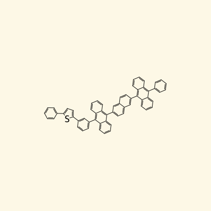 c1ccc(-c2ccc(-c3cccc(-c4c5ccccc5c(-c5ccc6cc(-c7c8ccccc8c(-c8ccccc8)c8ccccc78)ccc6c5)c5ccccc45)c3)s2)cc1